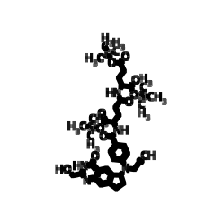 C#CCN(c1ccc(C(=O)NC(CCC(=O)NC(CCC(=O)O[Si](C)(C)C)C(=O)O[Si](C)(C)C)C(=O)O[Si](C)(C)C)cc1)C1CCc2cc3nc(CO)[nH]c(=O)c3cc21